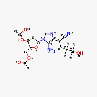 CC(=O)OC[C@H]1OC(n2cnc([C@@H](C#N)CC(C)(C)[Si](C)(C)O)c2N)CC1OC(C)=O